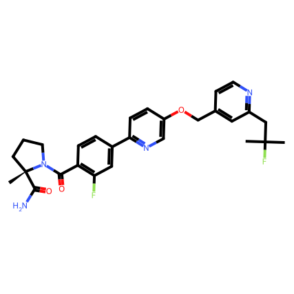 CC(C)(F)Cc1cc(COc2ccc(-c3ccc(C(=O)N4CCC[C@@]4(C)C(N)=O)c(F)c3)nc2)ccn1